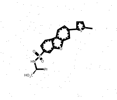 Cc1ccc(-c2ccc3c(c2)oc2cc(S(=O)(=O)N[C@H](C(=O)O)C(C)C)ccc23)s1